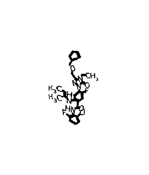 CC[C@H](C)Nc1cc(-n2nc(COCc3ccccc3)n(CC)c2=O)c(F)cc1C(=O)Nc1c(F)cccc1Cl